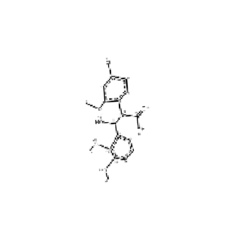 COc1cc(Cl)ccc1N(C(=O)O)C(O)c1cccc(OC)c1OC